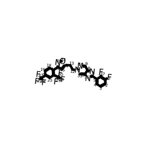 Fc1cccc(-c2nc3cnn(CCc4cc(-c5ccc(C(F)(F)F)cc5C(F)(F)F)no4)cc-3n2)c1F